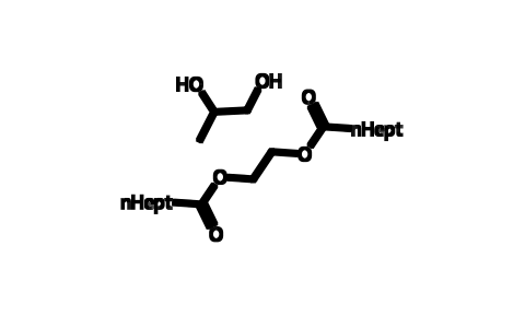 CC(O)CO.CCCCCCCC(=O)OCCOC(=O)CCCCCCC